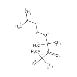 CC(C)CCOC(C)(C)C(=O)C(C)(C)Br